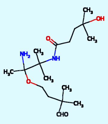 CC(C)(O)CCC(=O)NC(C)(C)C(C)(N)OCCC(C)(C)C=O